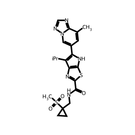 Cc1cc(-c2[nH]c3sc(C(=O)NCC4(S(C)(=O)=O)CC4)nc3c2C(C)C)cn2ncnc12